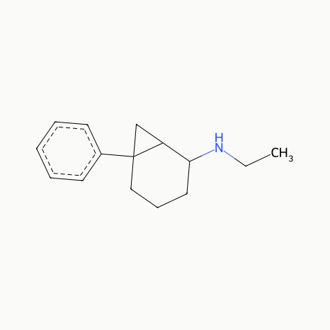 CCNC1CCCC2(c3ccccc3)CC12